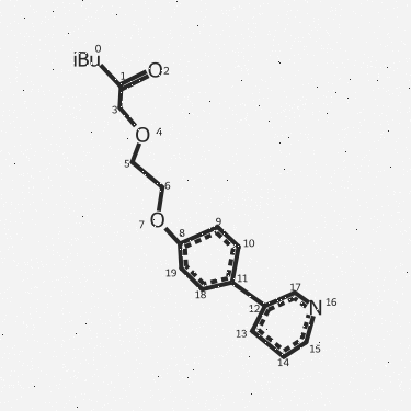 CCC(C)C(=O)COCCOc1ccc(-c2cccnc2)cc1